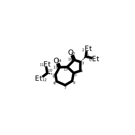 CCC(CC)[C@@H]1CC2CCC[C@H](C(CC)CC)C(=O)C2C1=O